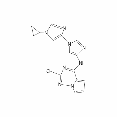 Clc1nc(Nc2cn(-c3cn(C4CC4)cn3)cn2)c2cccn2n1